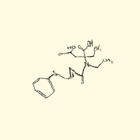 CCN(C(=O)/C=C/Sc1ccccc1)[C@](CC)(CC(=O)O)C(=O)O